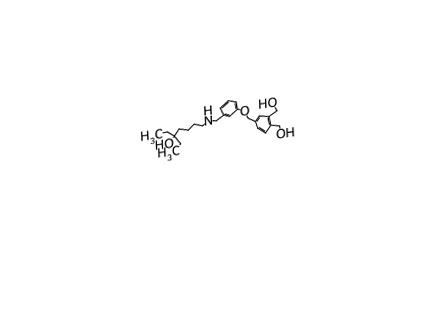 CCC(O)(CC)CCCCNCc1cccc(OCc2ccc(CO)c(CO)c2)c1